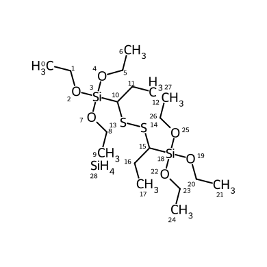 CCO[Si](OCC)(OCC)C(CC)SSC(CC)[Si](OCC)(OCC)OCC.[SiH4]